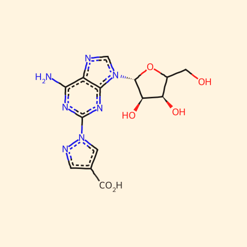 Nc1nc(-n2cc(C(=O)O)cn2)nc2c1ncn2[C@@H]1OC(CO)[C@@H](O)[C@H]1O